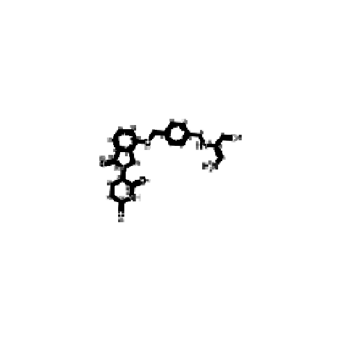 N/C=C(/C=O)NCc1ccc(COc2cccc3c2CN(C2CCC(=O)NC2=O)C3=O)cc1